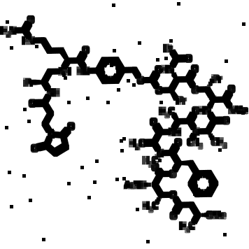 C=C(C(=O)N[C@@H](C)C(=O)N(C)[C@@H](C)C(=O)N[C@H](C(=O)NC)[C@H](OC(=O)[C@@H](NC(=O)CC)[C@H](OC(=O)OCc1ccc(NC(=O)[C@H](CCCNC(N)=O)NC[C@@H](NC(=O)CCN2C(=O)C=CC2=O)C(C)C)cc1)C(C)C)C(C)C)N(C)C(=O)[C@@H](Cc1ccccc1)OC(=O)[C@@H](NC(C)=O)[C@@H](C)OC(=O)C[C@@H](C)OC